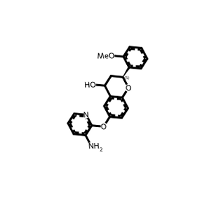 COc1ccccc1[C@@H]1CC(O)c2cc(Oc3ncccc3N)ccc2O1